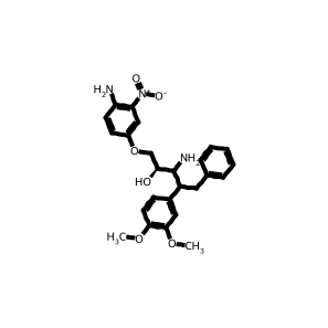 COc1ccc(C(Cc2ccccc2)C(N)[C@@H](O)COc2ccc(N)c([N+](=O)[O-])c2)cc1OC